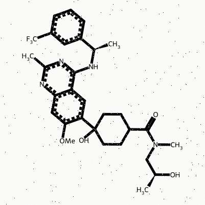 COc1cc2nc(C)nc(N[C@H](C)c3cccc(C(F)(F)F)c3)c2cc1C1(O)CCC(C(=O)N(C)C[C@H](C)O)CC1